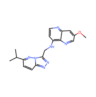 COc1cnc2c(NCc3nnc4ccc(C(C)C)nn34)ccnc2c1